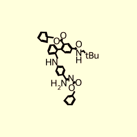 CC(C)(C)CNC(=O)c1ccc(-c2ccccc2CNc2ccc(C(N)=NC(=O)OCc3ccccc3)cc2)c(C(=O)OCc2ccccc2)c1